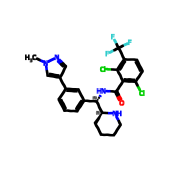 Cn1cc(-c2cccc([C@H](NC(=O)c3c(Cl)ccc(C(F)(F)F)c3Cl)[C@@H]3CCCCN3)c2)cn1